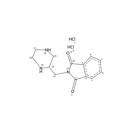 Cl.Cl.O=C1c2ccccc2C(=O)N1CC1CNCCN1